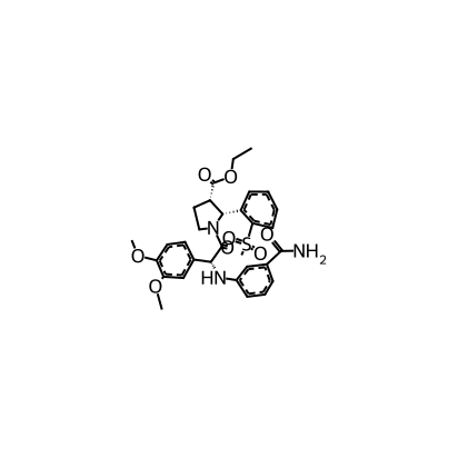 CCOC(=O)[C@H]1CCN(C(=O)[C@H](Nc2cccc(C(N)=O)c2)c2ccc(OC)c(OC)c2)[C@H]1c1ccccc1S(C)(=O)=O